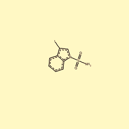 NS(=O)(=O)n1cc(I)c2ccccc21